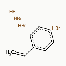 Br.Br.Br.Br.C=Cc1ccccc1